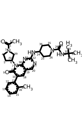 CC(=O)N1CC[C@H](n2c(=O)c(-c3ccccc3C)cc3cnc(NC4CCN(C(=O)NC(C)(C)C)CC4)nc32)C1